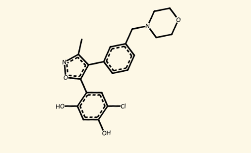 Cc1noc(-c2cc(Cl)c(O)cc2O)c1-c1cccc(CN2CCOCC2)c1